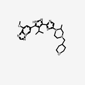 COc1cc(-c2[nH]nc(-c3ncc(N4CCN(CC5CCOCC5)CC4C)s3)c2C(C)C)cn2ncnc12